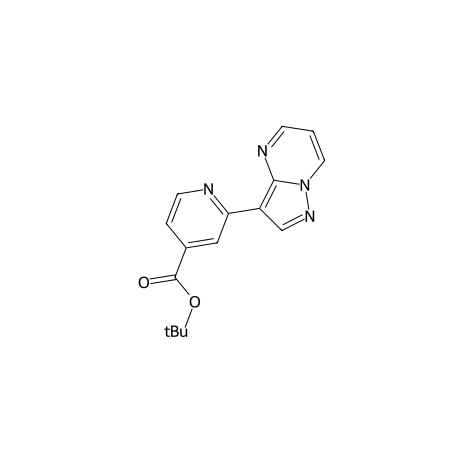 CC(C)(C)OC(=O)c1ccnc(-c2cnn3cccnc23)c1